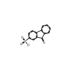 O=C1c2ccccc2-c2ccc(S(=O)(=O)Cl)cc21